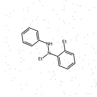 CCc1ccccc1N(CC)Nc1ccccc1